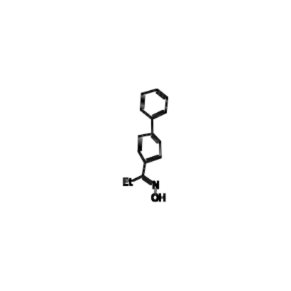 CCC(=NO)c1ccc(-c2ccccc2)cc1